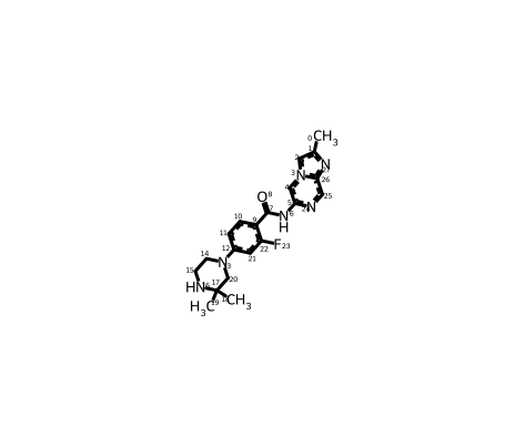 Cc1cn2cc(NC(=O)c3ccc(N4CCNC(C)(C)C4)cc3F)ncc2n1